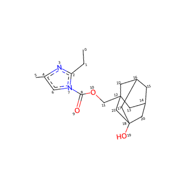 CCc1nc(C)cn1C(=O)OCC12CC3CC(CC(O)(C3)C1)C2